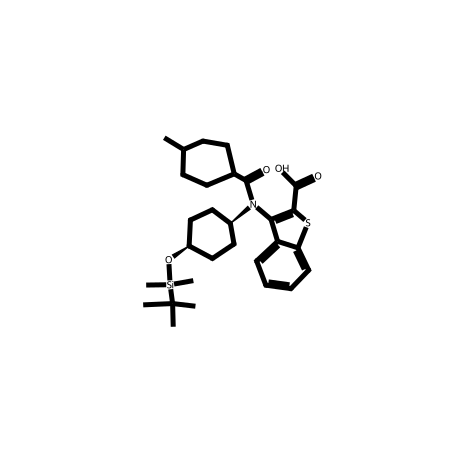 CC1CCC(C(=O)N(c2c(C(=O)O)sc3ccccc23)[C@H]2CC[C@@H](O[Si](C)(C)C(C)(C)C)CC2)CC1